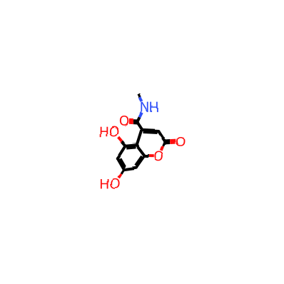 CNC(=O)c1cc(=O)oc2cc(O)cc(O)c12